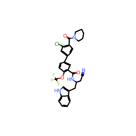 N#CCC(Cc1c[nH]c2ccccc12)NC(=O)c1cc(-c2ccc(C(=O)N3CCCCC3)c(Cl)c2)ccc1OC(F)(F)F